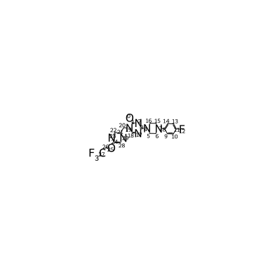 O=c1nc(N2CCN(c3ccc(F)cc3)CC2)ncn1Cc1cnc(OCC(F)(F)F)cn1